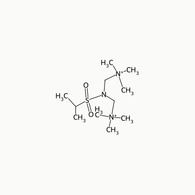 CC(C)S(=O)(=O)N(C[N+](C)(C)C)C[N+](C)(C)C